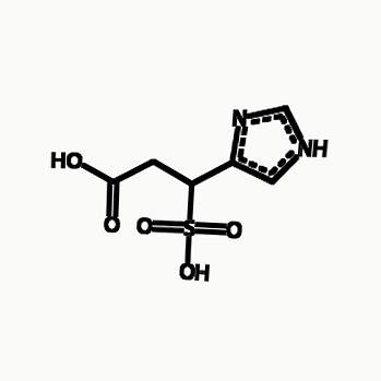 O=C(O)CC(c1c[nH]cn1)S(=O)(=O)O